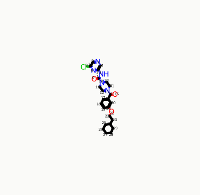 O=C(Nc1cncc(Cl)n1)N1CCN(C(=O)c2cccc(OCCC3CCCCC3)c2)CC1